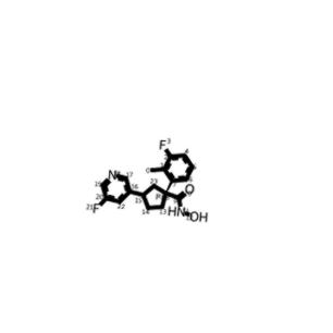 Cc1c(F)cccc1[C@@]1(C(=O)NO)CCC(c2cncc(F)c2)C1